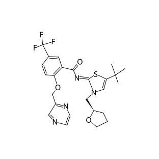 CC(C)(C)c1cn(C[C@H]2CCCO2)/c(=N/C(=O)c2cc(C(F)(F)F)ccc2OCc2cnccn2)s1